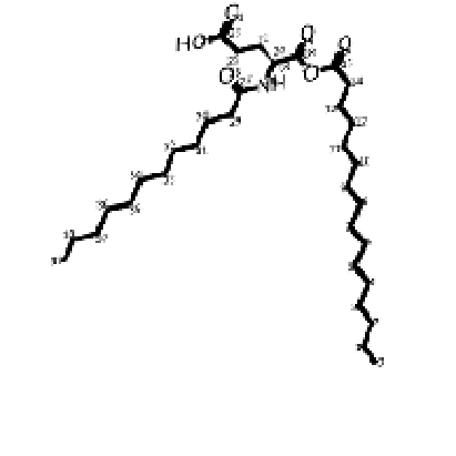 CCCCCCCCCCCCCCCC(=O)OC(=O)[C@H](CCC(=O)O)NC(=O)CCCCCCCCCCC